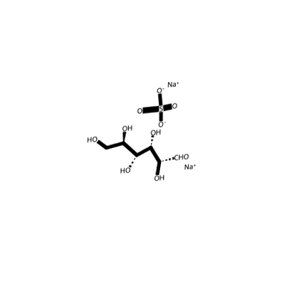 O=C[C@H](O)[C@@H](O)[C@H](O)[C@H](O)CO.O=S(=O)([O-])[O-].[Na+].[Na+]